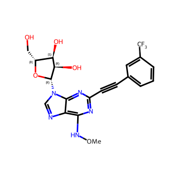 CONc1nc(C#Cc2cccc(C(F)(F)F)c2)nc2c1ncn2[C@@H]1O[C@H](CO)[C@@H](O)[C@H]1O